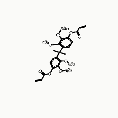 C=CC(=O)Oc1ccc(C(C)(C)c2ccc(OC(=O)C=C)c(OCCCC)c2OCCCC)c(OCCCC)c1OCCCC